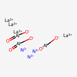 [La+3].[La+3].[La+3].[La+3].[N-3].[N-3].[N-3].[O]=[Al][O-].[O]=[Al][O-].[O]=[Al][O-]